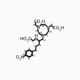 O=C(O)CNC(CCCc1ccc([N+](=O)[O-])cc1)CN1CCN(CC(=O)O)CCN(CC(=O)O)CC1